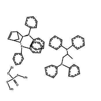 C1=CC2CC1[C@@H](P(c1ccccc1)c1ccccc1)[C@@H]2P(c1ccccc1)c1ccccc1.CC(CP(c1ccccc1)c1ccccc1)P(c1ccccc1)c1ccccc1.CCCSP(=O)(OCC)SCCC